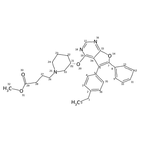 CCc1ccc(-c2c(-c3ccccc3)oc3ncnc(O[C@H]4CCCN(CCCC(=O)OC)C4)c23)cc1